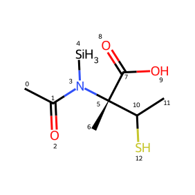 CC(=O)N([SiH3])[C@](C)(C(=O)O)C(C)S